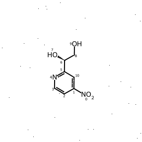 O=[N+]([O-])c1ccnc([C@@H](O)CO)c1